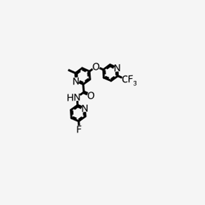 Cc1cc(Oc2ccc(C(F)(F)F)nc2)cc(C(=O)Nc2ccc(F)cn2)n1